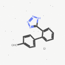 O=Cc1ccc(-c2ccccc2-c2nnn[nH]2)cc1.[Li]